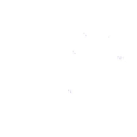 NC(=O)c1cc(CN2CCC(c3ccccc3)C2)cn2ccnc12